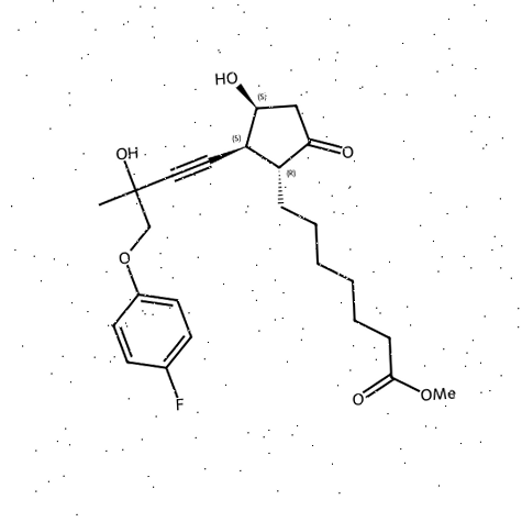 COC(=O)CCCCCC[C@H]1C(=O)C[C@H](O)[C@@H]1C#CC(C)(O)COc1ccc(F)cc1